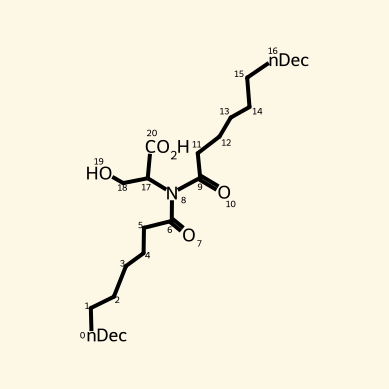 CCCCCCCCCCCCCCCC(=O)N(C(=O)CCCCCCCCCCCCCCC)C(CO)C(=O)O